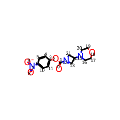 O=C(Oc1ccc([N+](=O)[O-])cc1)N1CC(N2CCOCC2)C1